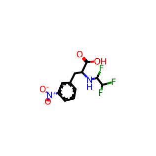 O=C(O)C(Cc1cccc([N+](=O)[O-])c1)NC(F)C(F)F